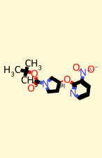 CC(C)(C)OC(=O)N1CC[C@@H](Oc2ncccc2[N+](=O)[O-])C1